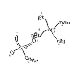 CCCC[N+](CC)(CCCC)CCCC.COS(=O)(=O)[O-]